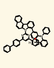 CC1(C)c2ccccc2N(c2ccccc2)c2cc(-c3cccc4c5c6ccccc6ccc5n(-c5nc(-c6ccccc6)cc(-c6ccc(-c7ccccc7)cc6)n5)c34)ccc21